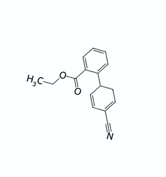 CCOC(=O)c1ccccc1C1C=CC(C#N)=CC1